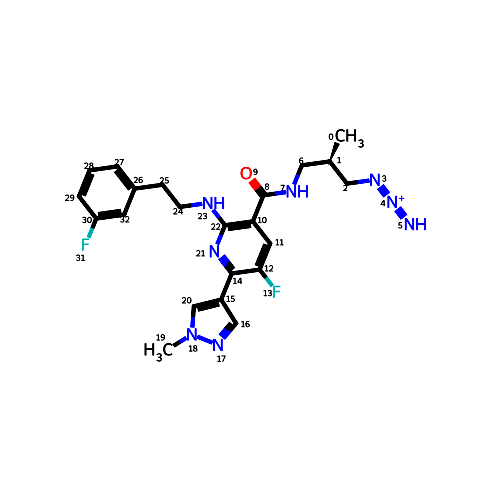 C[C@@H](CN=[N+]=N)CNC(=O)c1cc(F)c(-c2cnn(C)c2)nc1NCCc1cccc(F)c1